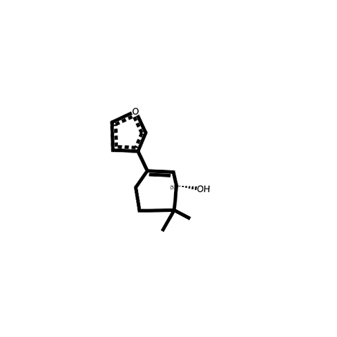 CC1(C)CCC(c2ccoc2)=C[C@@H]1O